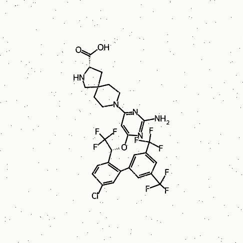 Nc1nc(O[C@H](c2ccc(Cl)cc2-c2cc(C(F)(F)F)cc(C(F)(F)F)c2)C(F)(F)F)cc(N2CCC3(CC2)CN[C@H](C(=O)O)C3)n1